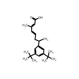 CC(C=CCC(C)c1cc(C(C)(C)C)cc(C(C)(C)C)c1)=CC(=O)O